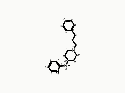 c1ccc(CCCN2CCC(Nc3ccccn3)CC2)cc1